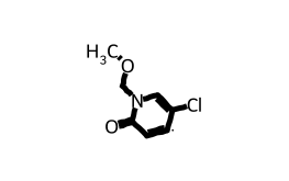 COCn1cc(Cl)[c]cc1=O